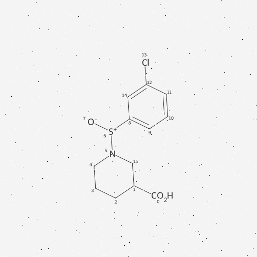 O=C(O)C1CCCN([S+]([O-])c2cccc(Cl)c2)C1